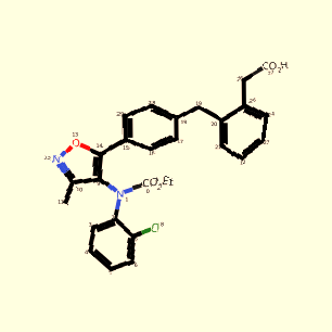 CCOC(=O)N(c1ccccc1Cl)c1c(C)noc1-c1ccc(Cc2ccccc2CC(=O)O)cc1